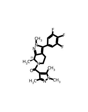 Cc1nn(C)c(C)c1C(=O)N1CCc2c(nn(C)c2-c2cc(F)c(F)c(F)c2)[C@@H]1C